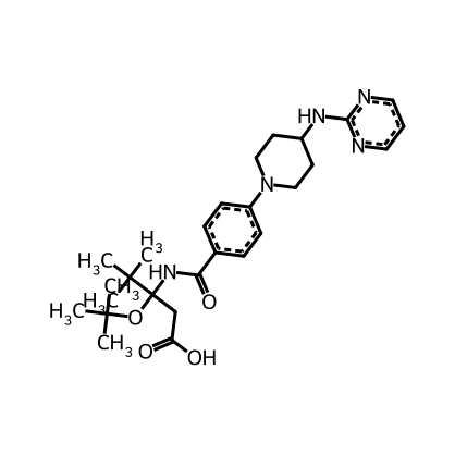 CC(C)(C)OC(CC(=O)O)(NC(=O)c1ccc(N2CCC(Nc3ncccn3)CC2)cc1)C(C)(C)C